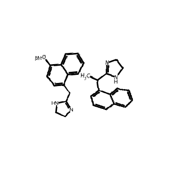 CC(C1=NCCN1)c1cccc2ccccc12.COc1ccc(CC2=NCCN2)c2ccccc12